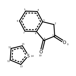 O=C1Cc2ccccc2C1=O.c1ccsc1